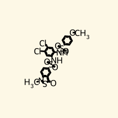 COc1ccc(S(=O)(=O)Nc2cc(Cl)c(Cl)cc2NS(=O)(=O)c2ccc3c(c2)c(=O)sn3C)cc1